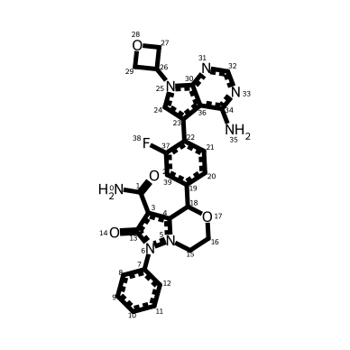 NC(=O)c1c2n(n(-c3ccccc3)c1=O)CCOC2c1ccc(-c2cn(C3COC3)c3ncnc(N)c23)c(F)c1